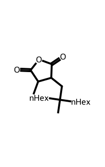 CCCCCCC(C)(CCCCCC)CC1C(=O)OC(=O)C1C